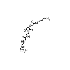 NCCCCCNC(=O)CSC1CC(=O)N(CCNC(=O)CNCCNCC(=O)O)C1=O